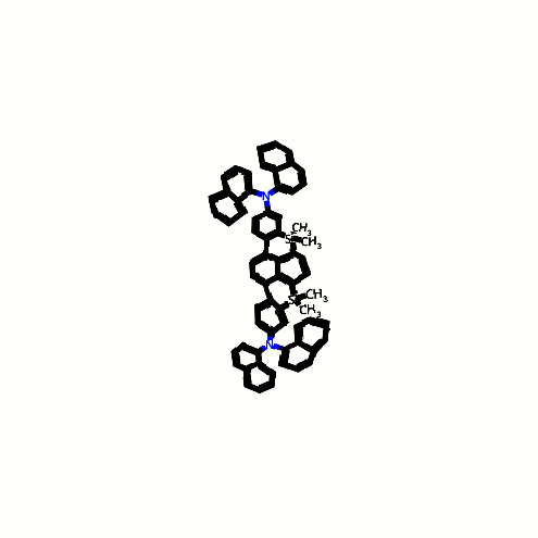 C[Si]1(C)c2cc(N(c3cccc4ccccc34)c3cccc4ccccc34)ccc2-c2ccc3c4c(ccc1c24)[Si](C)(C)c1cc(N(c2cccc4ccccc24)c2cccc4ccccc24)ccc1-3